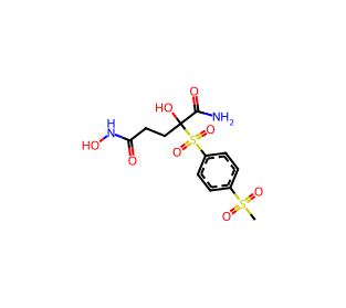 CS(=O)(=O)c1ccc(S(=O)(=O)C(O)(CCC(=O)NO)C(N)=O)cc1